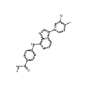 CNC(=O)c1ccc(Nc2nccn3c(-c4ccc(C)c(Cl)c4)cnc23)cc1